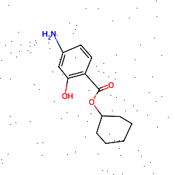 Nc1ccc(C(=O)OC2CCCCC2)c(O)c1